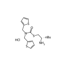 CCCC[C@H](N)CSC(=O)N(Cc1cccs1)Cc1cccs1.Cl